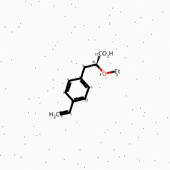 C=Cc1ccc(C[C@H](OCC)C(=O)O)cc1